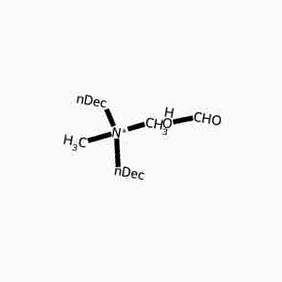 CCCCCCCCCC[N+](C)(C)CCCCCCCCCC.O=[C-]O